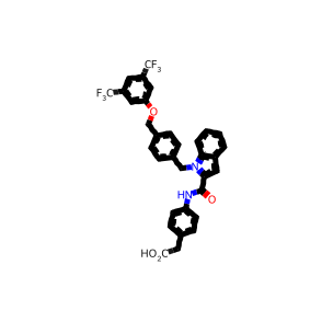 O=C(O)Cc1ccc(NC(=O)c2cc3ccccc3n2Cc2ccc(COc3cc(C(F)(F)F)cc(C(F)(F)F)c3)cc2)cc1